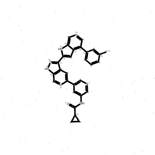 O=C(Nc1cncc(-c2cc3c(-c4cc5c(-c6cccc(F)c6)cncc5[nH]4)n[nH]c3cn2)c1)C1CC1